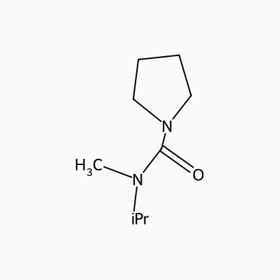 CC(C)N(C)C(=O)N1CCCC1